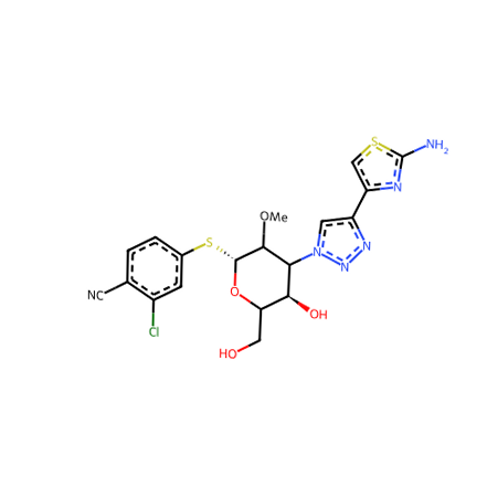 COC1C(n2cc(-c3csc(N)n3)nn2)[C@@H](O)C(CO)O[C@@H]1Sc1ccc(C#N)c(Cl)c1